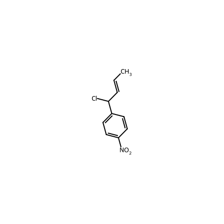 CC=CC(Cl)c1ccc([N+](=O)[O-])cc1